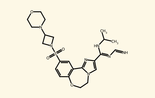 CC(C)N/C(=N\C=N)c1cn2c(n1)-c1cc(S(=O)(=O)N3CC(N4CCOCC4)C3)ccc1OCC2